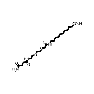 NC(=O)CCC(=O)NCCOCCOCC(=O)NCCCCCCCCCCC(=O)O